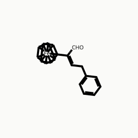 O=CC(=CCc1ccccc1)[C]12[CH]3[CH]4[CH]5[CH]1[Fe]45321678[CH]2[CH]1[CH]6[CH]7[CH]28